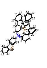 c1ccc(N(c2ccc3c(c2)C2(c4ccccc4-3)c3ccccc3-c3c2sc2ccccc32)c2ccc3c(c2)sc2ccccc23)cc1